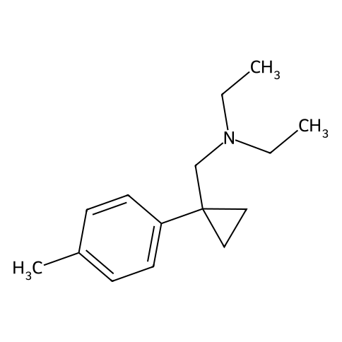 CCN(CC)CC1(c2ccc(C)cc2)CC1